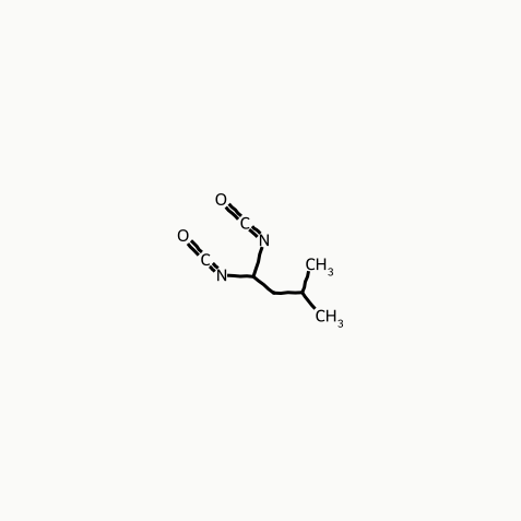 CC(C)CC(N=C=O)N=C=O